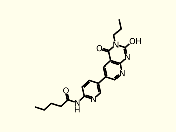 CCCCC(=O)Nc1ccc(-c2cnc3nc(O)n(CCC)c(=O)c3c2)cn1